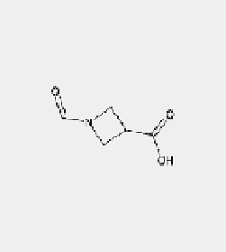 O=CN1CC(C(=O)O)C1